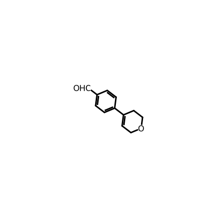 O=Cc1ccc(C2=CCOCC2)cc1